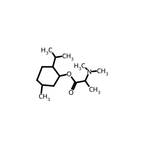 CC1CCC(C(C)C)C(OC(=O)C(C)N(C)C)C1